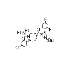 CCN(CC)C(=O)N1CCN(C(=O)[C@@H]2CN(C(C)(C)C)C[C@H]2c2ccc(F)cc2F)CCC[C@H]1c1ccc(Cl)cc1